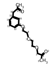 CC(=O)COCCOCCOc1cccc(CC(C)=O)c1